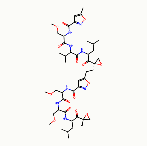 COCC(NC(=O)c1cc(CC[C@]2(C(=O)C(CC(C)C)NC(=O)C(NC(=O)C(COC)NC(=O)c3cc(C)on3)C(C)C)CO2)on1)C(=O)NC(COC)C(=O)NC(CC(C)C)C(=O)[C@@]1(C)CO1